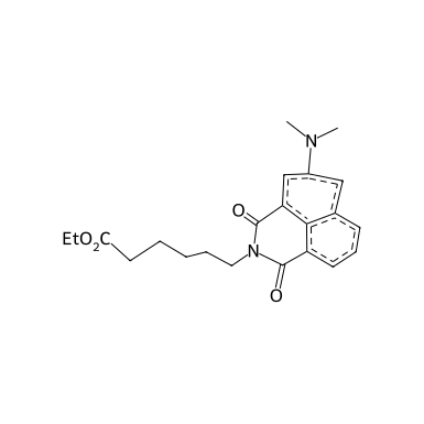 CCOC(=O)CCCCCN1C(=O)c2cccc3cc(N(C)C)cc(c23)C1=O